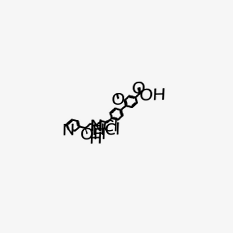 COc1cc(C(=O)O)ccc1-c1ccc(CCNC[C@@H](O)c2cccnc2)cc1.Cl.Cl